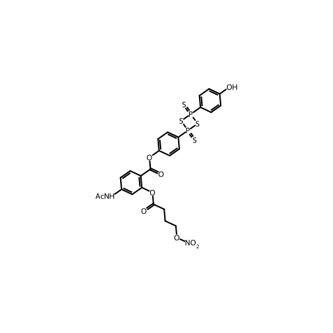 CC(=O)Nc1ccc(C(=O)Oc2ccc(P3(=S)SP(=S)(c4ccc(O)cc4)S3)cc2)c(OC(=O)CCCO[N+](=O)[O-])c1